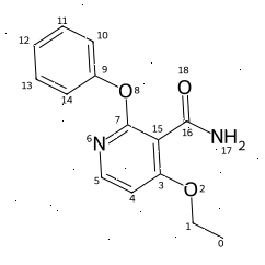 CCOc1ccnc(Oc2ccccc2)c1C(N)=O